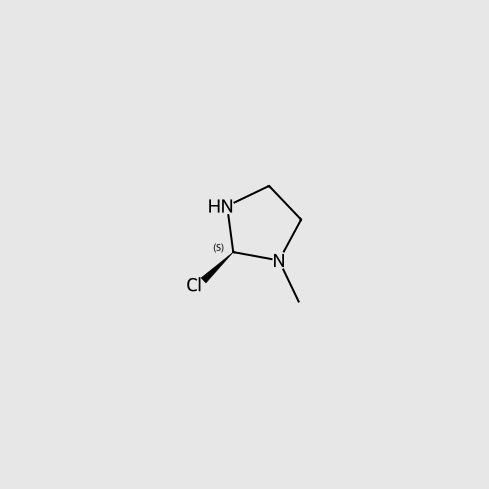 CN1CCN[C@@H]1Cl